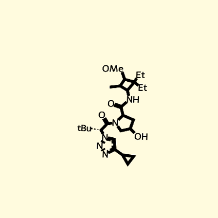 CCC1(CC)C(NC(=O)C2CC(O)CN2C(=O)[C@H](n2cc(C3CC3)nn2)C(C)(C)C)C(C)C1OC